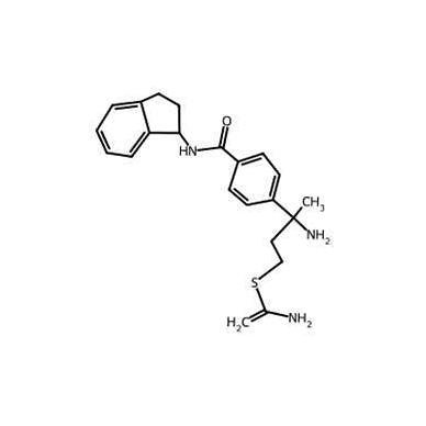 C=C(N)SCCC(C)(N)c1ccc(C(=O)NC2CCc3ccccc32)cc1